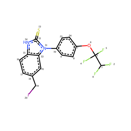 FC(F)C(F)(F)Oc1ccc(-n2c(=S)[nH]c3ccc(CI)cc32)cc1